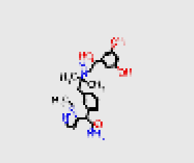 CCn1nccc1C(C(N)=O)c1cccc(CC(C)(C)NCC(O)c2cc(O)cc(O)c2)c1